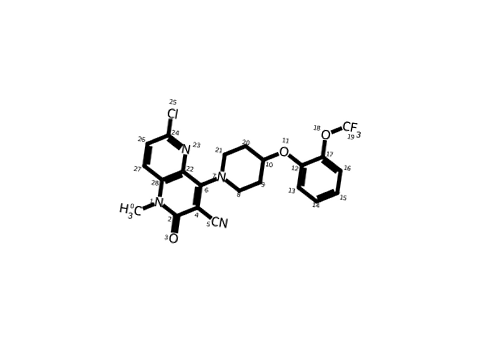 Cn1c(=O)c(C#N)c(N2CCC(Oc3ccccc3OC(F)(F)F)CC2)c2nc(Cl)ccc21